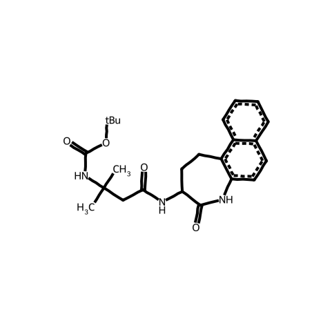 CC(C)(CC(=O)NC1CCc2c(ccc3ccccc23)NC1=O)NC(=O)OC(C)(C)C